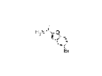 CC(N)c1cc2cc(Br)ccc2o1